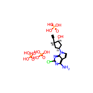 C#C[C@@]1(C)C[C@H](n2ccc3c(N)nc(Cl)nc32)C[C@H]1O.O=P(O)(O)O.O=P(O)(O)O.O=P(O)(O)O